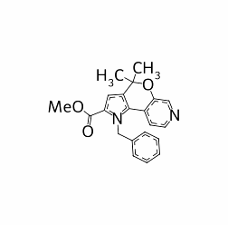 COC(=O)c1cc2c(n1Cc1ccccc1)-c1ccncc1OC2(C)C